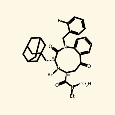 CCN(C(=O)O)C(=O)[C@@H]1CC(=O)c2ccccc2N(Cc2ccccc2F)C(=O)[C@@H](CC23CC4CC(CC(C4)C2)C3)N1C(C)=O